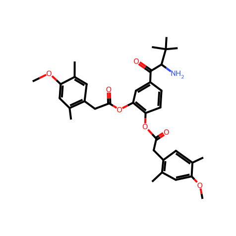 COc1cc(C)c(CC(=O)Oc2ccc(C(=O)C(N)C(C)(C)C)cc2OC(=O)Cc2cc(C)c(OC)cc2C)cc1C